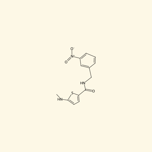 CNc1ccc(C(=O)NCc2cccc([N+](=O)[O-])c2)s1